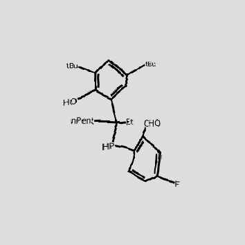 CCCCCC(CC)(Pc1ccc(F)cc1C=O)c1cc(C(C)(C)C)cc(C(C)(C)C)c1O